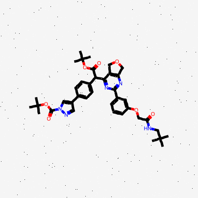 CC(C)(C)CNC(=O)COc1cccc(-c2nc3c(c(C(C(=O)OC(C)(C)C)c4ccc(-c5cnn(C(=O)OC(C)(C)C)c5)cc4)n2)COC3)c1